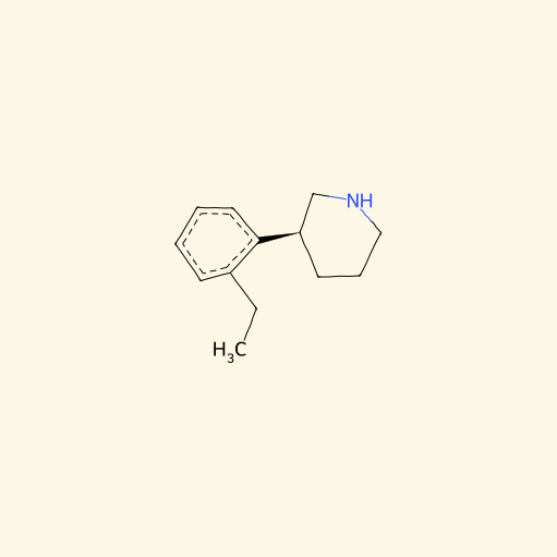 CCc1ccccc1[C@@H]1CCCNC1